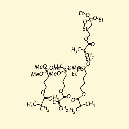 C=C(C)C(=O)OCCCC[SiH](OCC)OCC.C=C(C)C(=O)OCCC[Si](C)(OC)OC.C=C(C)C(=O)OCCC[Si](OC)(OC)OC.C=C(C)C(=O)OCCC[Si](OCC)(OCC)OCC